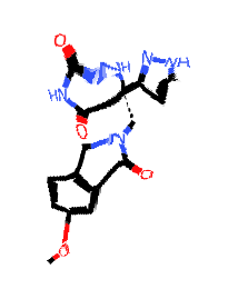 COc1ccc2c(c1)C(=O)N(C[C@@]1(c3cc[nH]n3)NC(=O)NC1=O)C2